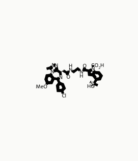 COc1ccc2c(c1)C(c1ccc(Cl)cc1)=N[C@@H](CC(=O)NCCNC(=O)c1cc3c([Si](C)(C)O)cccc3n1C(=O)O)c1nnc(C)n1-2